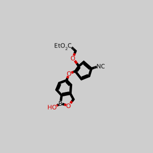 [C-]#[N+]c1ccc(Oc2ccc3c(c2)COB3O)c(OCC(=O)OCC)c1